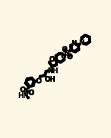 CNS(=O)(=O)c1cccc(OCC(O)CNC2COC3(CCN(S(=O)(=O)c4ccc(N5CCCCC5)nc4)CC3)C2)c1